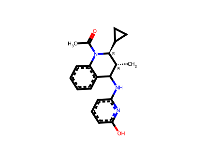 CC(=O)N1c2ccccc2C(Nc2cccc(O)n2)[C@@H](C)[C@@H]1C1CC1